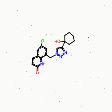 O=c1ccc2cc(Cl)cc(Cn3cc(C4(O)CCCCC4)nn3)c2[nH]1